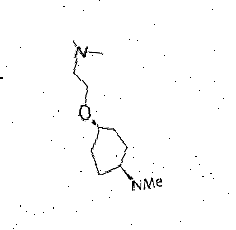 CN[C@H]1CC[C@@H](OCCN(C)C)CC1